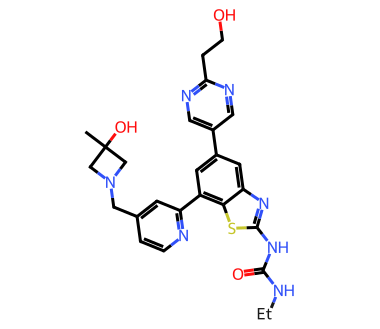 CCNC(=O)Nc1nc2cc(-c3cnc(CCO)nc3)cc(-c3cc(CN4CC(C)(O)C4)ccn3)c2s1